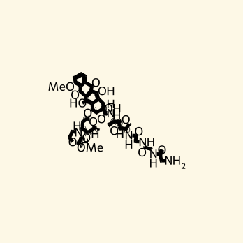 COc1cccc2c1C(=O)c1c(O)c3c(c(O)c1C2=O)C[C@@](O)(C(=O)N[C@H]1CO[C@H]2[C@@H]1OC[C@@H]2NC(=O)CNC(=O)CNC(=O)CN)C[C@@H]3O[C@H]1C[C@H]2[C@H](O[C@@H]3[C@@H](OC)OCCN32)[C@H](C)O1